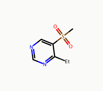 CCc1ncncc1S(C)(=O)=O